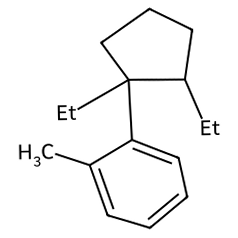 CCC1CCCC1(CC)c1ccccc1C